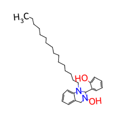 CCCCCCCCCCCCCCCCN1c2ccccc2CN(O)C1c1ccccc1O